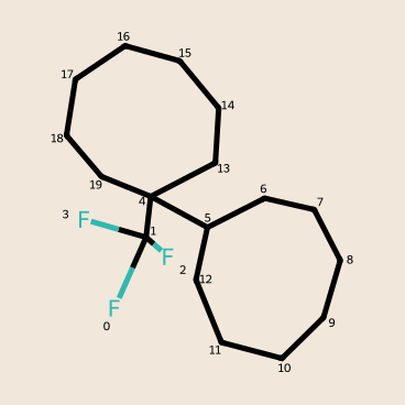 FC(F)(F)C1(C2CCCCCCC2)CCCCCCC1